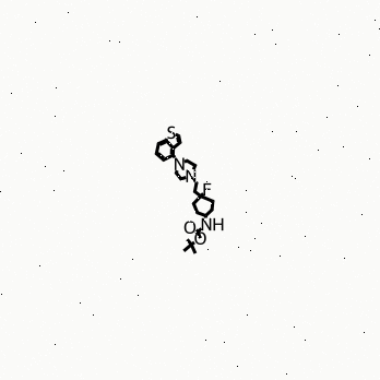 CC(C)(C)OC(=O)NC1CCC(F)(CCN2CCN(c3cccc4sccc34)CC2)CC1